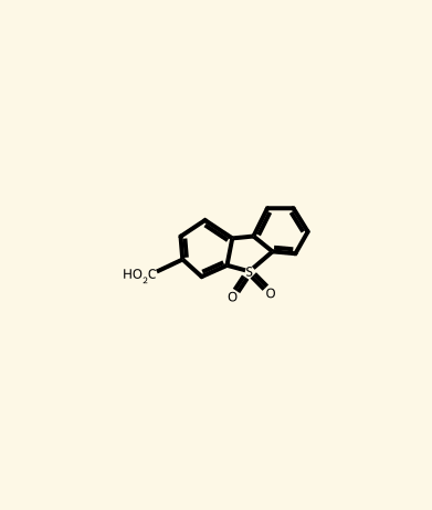 O=C(O)c1ccc2c(c1)S(=O)(=O)c1ccccc1-2